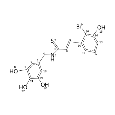 Oc1cc(CNC(=S)/C=C/c2cccc(O)c2Br)cc(O)c1O